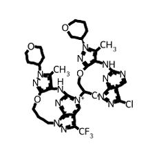 Cc1c2c(nn1C1CCOCC1)OCCCn1nc(C(F)(F)F)c3c[n+](C4COc5nn([C@@H]6CCCOC6)c(C)c5Nc5ncc6c(Cl)nn(c6n5)C4)c(nc31)N2